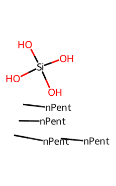 CCCCCC.CCCCCC.CCCCCC.CCCCCC.O[Si](O)(O)O